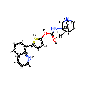 O=C(N[C@H]1CN2CCC1CC2)Oc1ccc(-c2cccc3cccnc23)s1